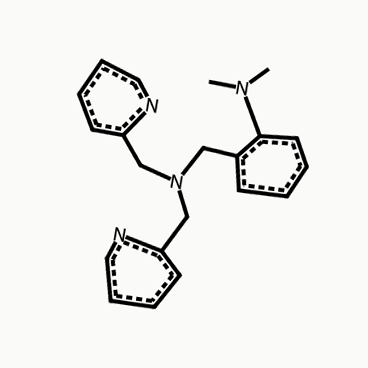 CN(C)c1ccccc1CN(Cc1ccccn1)Cc1ccccn1